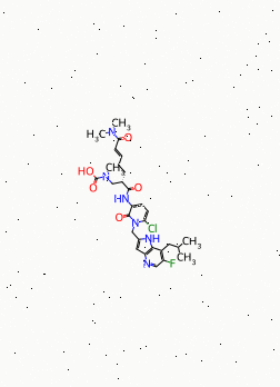 CC(C)Cc1c(F)cnc2cc(Cn3c(Cl)ccc(NC(=O)[C@@H](CC/C=C/C(=O)N(C)C)CN(C)C(=O)O)c3=O)[nH]c12